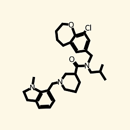 CC(C)CN(Cc1cc(Cl)c2c(c1)CCCCO2)C(=O)C1CCCN(Cc2cccc3c2N(C)CC3)C1